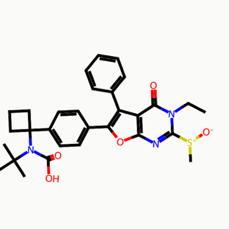 CCn1c([S+](C)[O-])nc2oc(-c3ccc(C4(N(C(=O)O)C(C)(C)C)CCC4)cc3)c(-c3ccccc3)c2c1=O